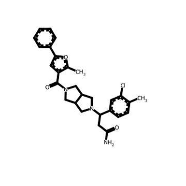 Cc1ccc(C(CC(N)=O)N2CC3CN(C(=O)c4cc(-c5ccccc5)oc4C)CC3C2)cc1Cl